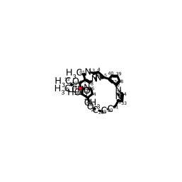 Cc1nc2cc3nn2c(c1C(OC(C)(C)C)C(=O)O)N1CCC(C)(CC1)OCCCCCc1ccn(n1)-c1cccc-3c1